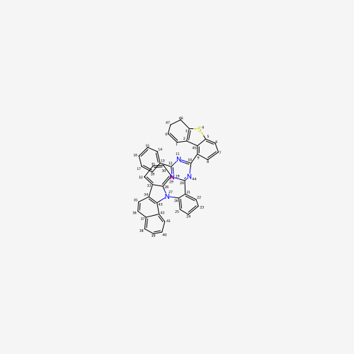 C1=Cc2c(sc3cccc(-c4nc(-c5ccccc5)nc(-c5ccccc5-n5c6ccccc6c6ccc7ccccc7c65)n4)c23)CC1